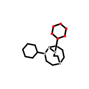 C1CCC(N2CCN3CCN(C4CCCCC4)P2N(C2CCCCC2)CC3)CC1